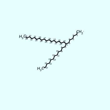 [CH2]CCCCCC(CCCCCCCCCCCC)CCCCCCCCCCCCCCCCC